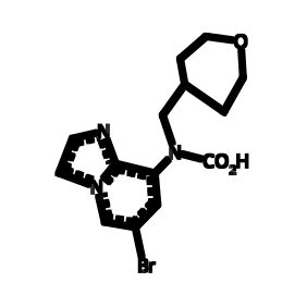 O=C(O)N(CC1CCOCC1)c1cc(Br)cn2ccnc12